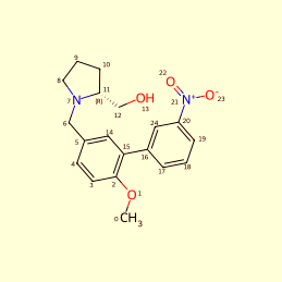 COc1ccc(CN2CCC[C@@H]2CO)cc1-c1cccc([N+](=O)[O-])c1